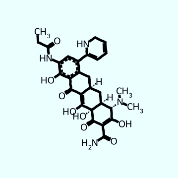 CCC(=O)Nc1cc(C2=CC=CCN2)c2c(c1O)C(=O)C1=C(O)[C@]3(O)C(=O)C(C(N)=O)=C(O)[C@@H](N(C)C)[C@@H]3C[C@@H]1C2